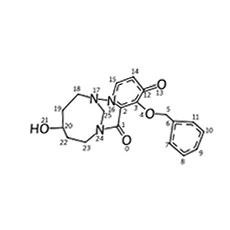 O=C1c2c(OCc3ccccc3)c(=O)ccn2N2CCC(O)CCN1C2